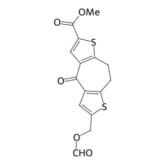 COC(=O)c1cc2c(s1)CCc1sc(COC=O)cc1C2=O